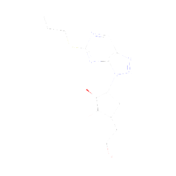 CCCSc1ncc2nnn(C3CC(CCO)C(O)[C@H]3O)c2n1